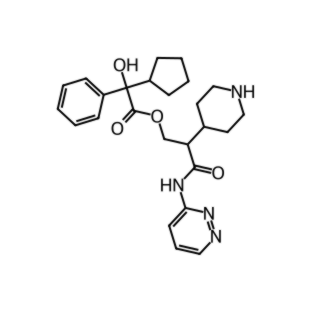 O=C(Nc1cccnn1)C(COC(=O)C(O)(c1ccccc1)C1CCCC1)C1CCNCC1